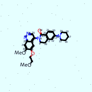 COCCOc1cc2c(N3CCc4cc(N5CCCCC5)ccc4C3=O)cnnc2cc1OC